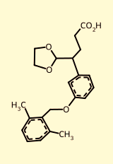 Cc1cccc(C)c1COc1cccc(C(CCC(=O)O)C2OCCO2)c1